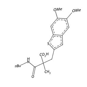 CCCCNC(=O)C(C)(Cc1cc2cc(OC)c(OC)cc2s1)C(=O)O